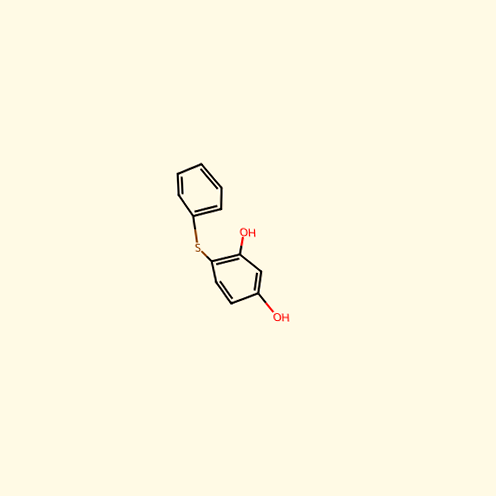 Oc1ccc(Sc2ccccc2)c(O)c1